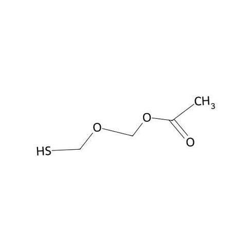 CC(=O)OCOCS